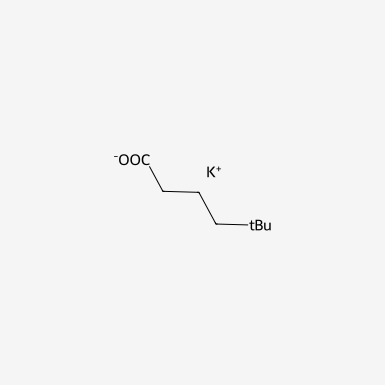 CC(C)(C)CCCC(=O)[O-].[K+]